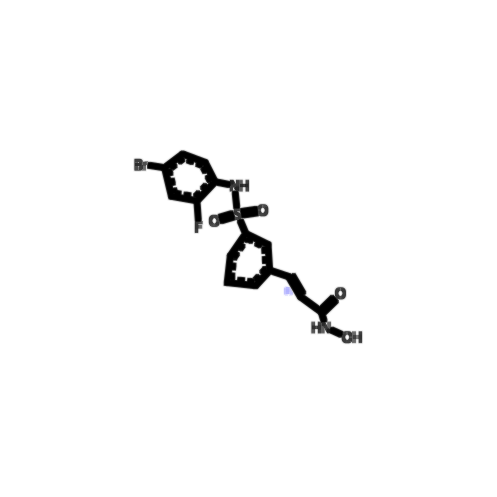 O=C(/C=C/c1cccc(S(=O)(=O)Nc2ccc(Br)cc2F)c1)NO